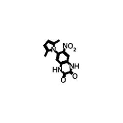 Cc1ccc(C)n1-c1cc2[nH]c(=O)c(=O)[nH]c2cc1[N+](=O)[O-]